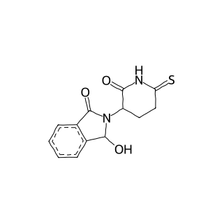 O=C1NC(=S)CCC1N1C(=O)c2ccccc2C1O